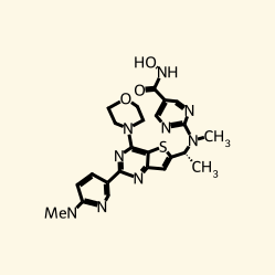 CNc1ccc(-c2nc(N3CCOCC3)c3sc([C@@H](C)N(C)c4ncc(C(=O)NO)cn4)cc3n2)cn1